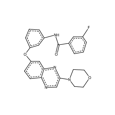 O=C(Nc1cccc(Oc2ccc3ncc(N4CCOCC4)nc3c2)c1)c1cccc(F)c1